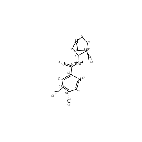 O=C(NC1CN2CC[C@H]1C2)c1cc(F)c(Cl)cn1